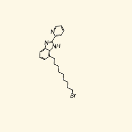 BrCCCCCCCCCc1cccc2nc(-c3ccccn3)[nH]c12